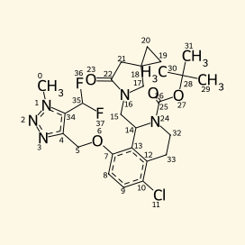 Cn1nnc(COc2ccc(Cl)c3c2C(CN2CC4(CC4)CC2=O)N(C(=O)OC(C)(C)C)CC3)c1C(F)F